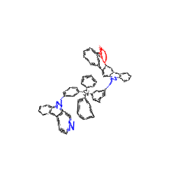 c1ccc([Si](c2ccccc2)(c2cccc(-n3c4ccccc4c4ccncc43)c2)c2cccc(-n3c4ccccc4c4cc5oc6ccccc6c5cc43)c2)cc1